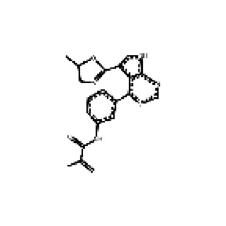 C=C(C)C(=O)Nc1cccc(-c2ncnc3[nH]cc(C4=NCC(C)O4)c23)c1